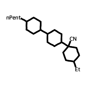 CCCCCC1CCC(C2CCC(C3(C#N)CCC(CC)CC3)CC2)CC1